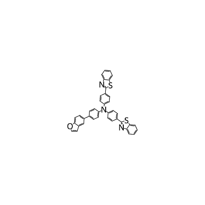 c1ccc2sc(-c3ccc(N(c4ccc(-c5ccc6occc6c5)cc4)c4ccc(-c5nc6ccccc6s5)cc4)cc3)nc2c1